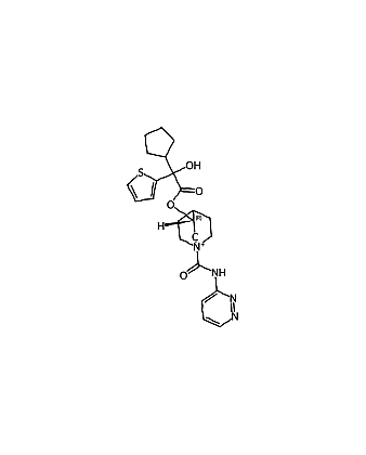 O=C(O[C@H]1C[N+]2(C(=O)Nc3cccnn3)CCC1CC2)C(O)(c1cccs1)C1CCCC1